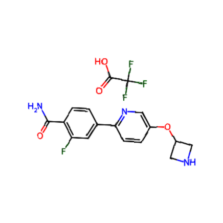 NC(=O)c1ccc(-c2ccc(OC3CNC3)cn2)cc1F.O=C(O)C(F)(F)F